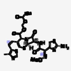 CO/N=C(\C(=O)N[C@@H]1C(=O)N2C(C(=O)OCOC(=O)C(C)(C)C)C(/C=C\c3scnc3C)=CS[C@H]12)c1csc(N)n1